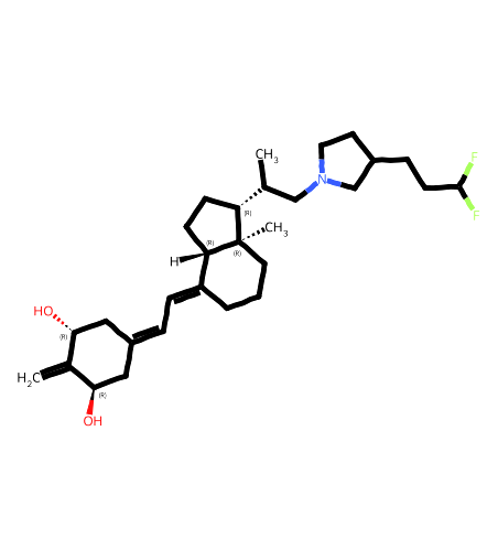 C=C1[C@H](O)CC(=CC=C2CCC[C@]3(C)[C@@H](C(C)CN4CCC(CCC(F)F)C4)CC[C@@H]23)C[C@H]1O